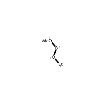 CCO[B]OC